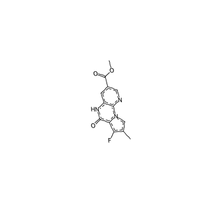 COC(=O)c1cnc2c(c1)[nH]c(=O)c1c(F)c(C)cn12